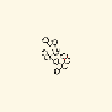 c1ccc(-c2nc(-c3c(-c4ccc(-c5c(-c6ccccc6)ccc6ccccc56)cc4)ccc4ccccc34)nc(-c3cccc4c3sc3ccccc34)n2)cc1